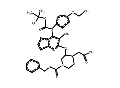 CCOc1ccc(N(C(=O)OC(C)(C)C)c2c(C)c(OC3CN(C(=O)OCc4ccccc4)CCC3CC(=O)O)nc3ccnn23)cc1